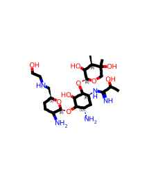 CC(O)C(=N)N[C@@H]1C[C@H](N)C(O[C@H]2O[C@H](CNCCO)CCC2N)C(O)C1O[C@H]1OCC(C)(O)[C@H](C)C1O